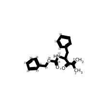 C=C(C)C(=O)C(Cc1ccccc1)NC(=O)OCc1ccccc1